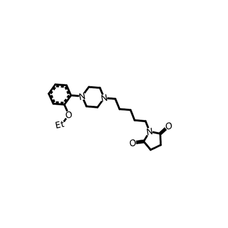 CCOc1ccccc1N1CCN(CCCCCN2C(=O)CCC2=O)CC1